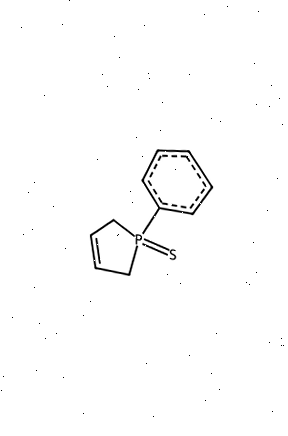 S=P1(c2ccccc2)CC=CC1